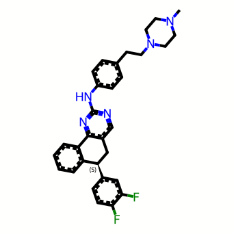 CN1CCN(CCc2ccc(Nc3ncc4c(n3)-c3ccccc3[C@H](c3ccc(F)c(F)c3)C4)cc2)CC1